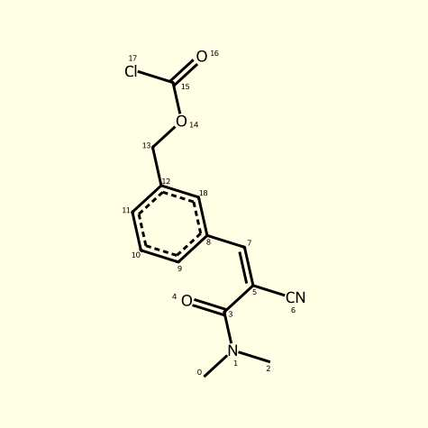 CN(C)C(=O)C(C#N)=Cc1cccc(COC(=O)Cl)c1